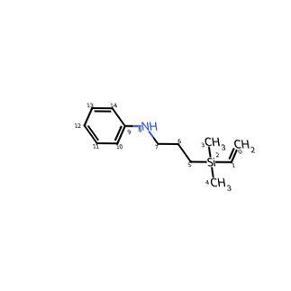 C=C[Si](C)(C)CCCNc1ccccc1